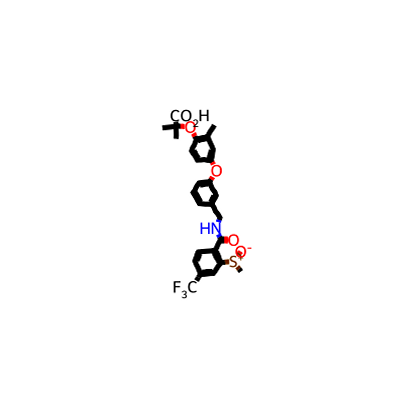 Cc1cc(Oc2cccc(CNC(=O)c3ccc(C(F)(F)F)cc3[S+](C)[O-])c2)ccc1OC(C)(C)C(=O)O